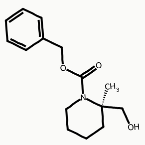 C[C@]1(CO)CCCCN1C(=O)OCc1ccccc1